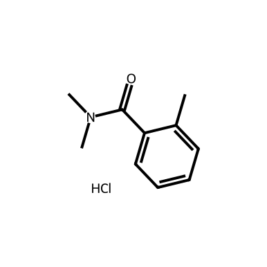 Cc1ccccc1C(=O)N(C)C.Cl